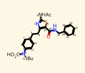 CC(=O)Nc1nc(CCc2ccc(N(C(=O)O)C(C)(C)C)cc2)c(C(=O)NCc2ccccc2)s1